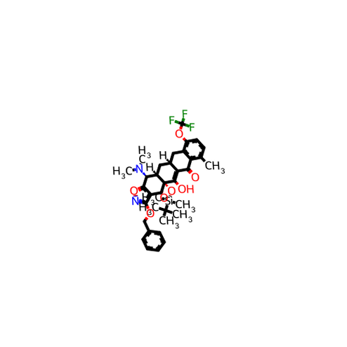 Cc1ccc(OC(F)(F)F)c2c1C(=O)C1=C(O)[C@]3(O[Si](C)(C)C(C)(C)C)C(=O)c4c(OCc5ccccc5)noc4[C@@H](N(C)C)[C@@H]3C[C@@H]1C2